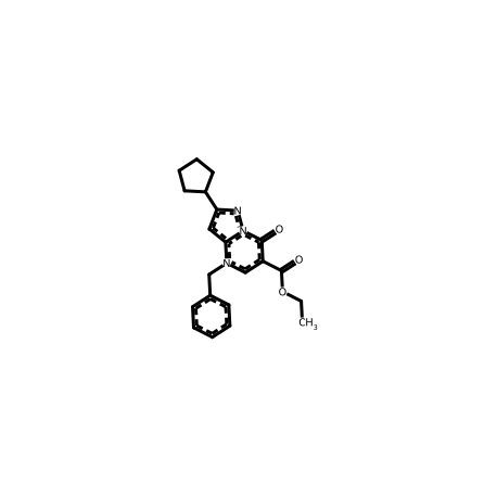 CCOC(=O)c1cn(Cc2ccccc2)c2cc(C3CCCC3)nn2c1=O